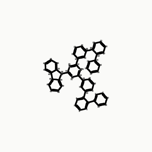 c1ccc(-c2ccccc2-c2cccc(-c3nc(-c4cccc(-c5ccccc5-c5ccccc5)c4)nc(-n4c5ccccc5c5ccccc54)n3)c2)cc1